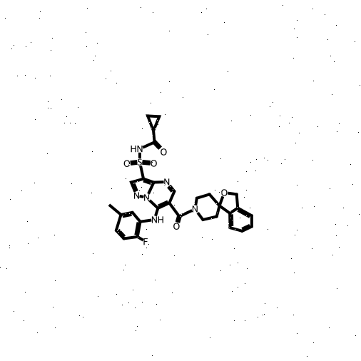 Cc1ccc(F)c(Nc2c(C(=O)N3CCC4(CC3)OCc3ccccc34)cnc3c(S(=O)(=O)NC(=O)C4CC4)cnn23)c1